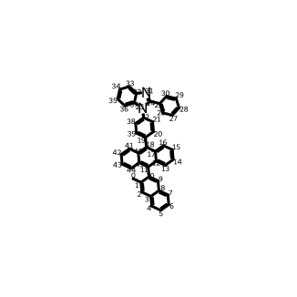 Cc1cc2ccccc2cc1-c1c2ccccc2c(-c2ccc(-n3c(-c4ccccc4)nc4ccccc43)cc2)c2ccccc12